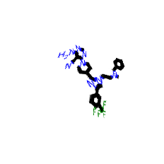 CN(CCn1cc(-c2ccc(F)c(C(F)(F)F)c2)nc1C1CCN(c2ncnc(N)c2C#N)CC1)Cc1ccccc1